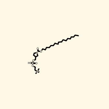 CCCCCCCCCCCCCCCCCCOC(=O)N1CCC(COP(=O)(O)OCC[N+](C)(C)C)C1